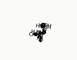 CC(C)Oc1ncc([C@H](c2ccc(Cl)cc2)[C@H](N)C(=O)Nc2cccc(F)c2CC[C@H]2CN[C@@H]3CCCS(O)(O)N2C3)cn1